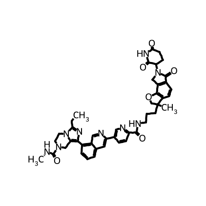 CCc1nc(-c2cccc3cc(-c4ccc(C(=O)NCCCC5(C)COc6c5ccc5c6CN(C6CCC(=O)NC6=O)C5=O)nc4)ncc23)c2n1CCN(C(=O)NC)C2